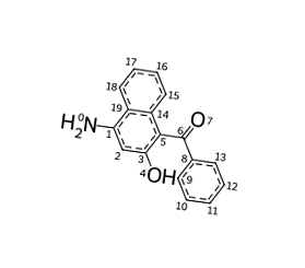 Nc1cc(O)c(C(=O)c2ccccc2)c2ccccc12